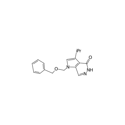 CC(C)c1cn(COCc2ccccc2)c2cn[nH]c(=O)c12